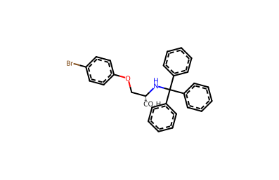 O=C(O)[C@H](COc1ccc(Br)cc1)NC(c1ccccc1)(c1ccccc1)c1ccccc1